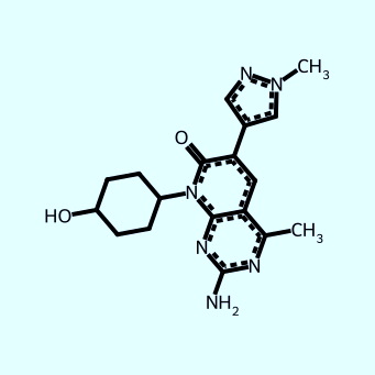 Cc1nc(N)nc2c1cc(-c1cnn(C)c1)c(=O)n2C1CCC(O)CC1